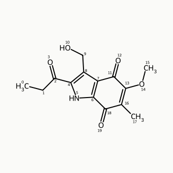 CCC(=O)c1[nH]c2c(c1CO)C(=O)C(OC)=C(C)C2=O